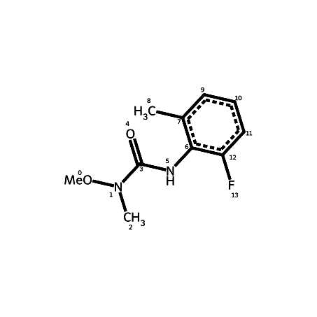 CON(C)C(=O)Nc1c(C)cccc1F